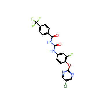 O=C(NC(=O)c1ccc(C(F)(F)F)cc1)Nc1ccc(Oc2ncc(Cl)cn2)c(F)c1